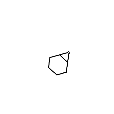 C1CCC2SC2C1